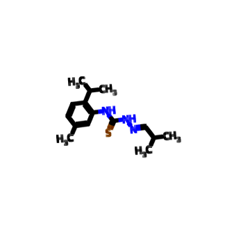 Cc1ccc(C(C)C)c(NC(=S)N/N=C/C(C)C)c1